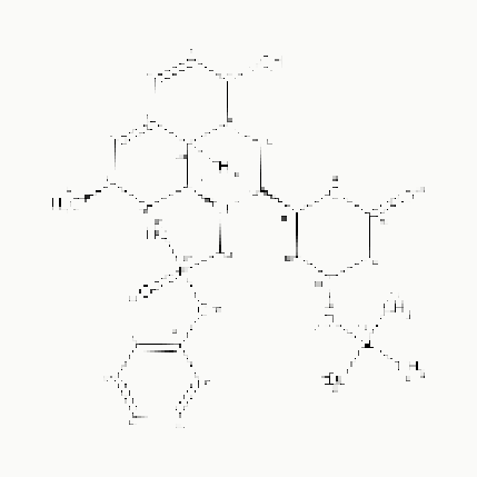 C[C@H]1C=C2C=C[C@H](C)[C@H](CC[C@@H]3C[C@@H](O[Si](C)(C)C(C)(C)C)CC(=O)O3)[C@H]2[C@@H](OCP(=O)(O)Oc2ccccc2)C1